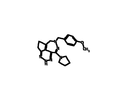 COc1ccc(CN2CC3=C4C(=NNN=C4C(N4CCCC4)=N2)CC3)cc1